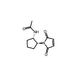 CC(=O)N[C@H]1CCC[C@@H]1N1C(=O)C=CC1=O